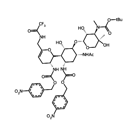 CC(=O)N[C@@H]1C[C@H](NC(=O)OCc2ccc([N+](=O)[O-])cc2)[C@@H](C2OC(CNC(=O)C(F)(F)F)=CC[C@H]2NC(=O)OCc2ccc([N+](=O)[O-])cc2)[C@H](O)[C@H]1O[C@H]1OC[C@](C)(O)[C@H](N(C)C(=O)OC(C)(C)C)[C@H]1O